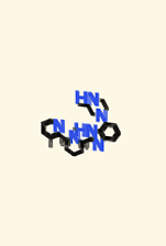 Cc1cccnc1[C@@H]1CCC[C@H](c2nc3cccc(N4CCNC(C)C4)c3[nH]2)N1C